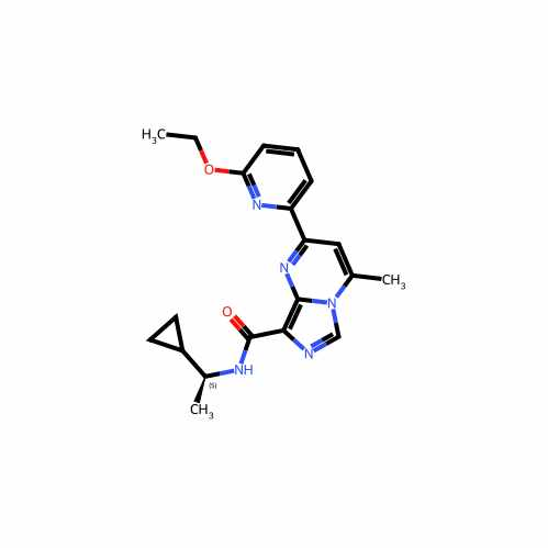 CCOc1cccc(-c2cc(C)n3cnc(C(=O)N[C@@H](C)C4CC4)c3n2)n1